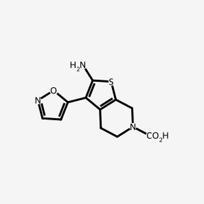 Nc1sc2c(c1-c1ccno1)CCN(C(=O)O)C2